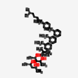 C=C(C)CCCCC.C=CCCC(CC)CC.CCCC(O)CC(C)O.CCCC(O)CC(C)O.O=C(O)c1ccccc1.O=C(O)c1ccccc1.O=C(O)c1ccccc1.O=C(O)c1ccccc1